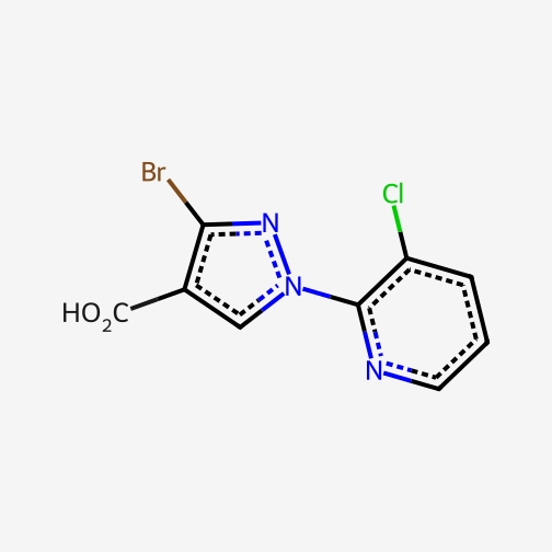 O=C(O)c1cn(-c2ncccc2Cl)nc1Br